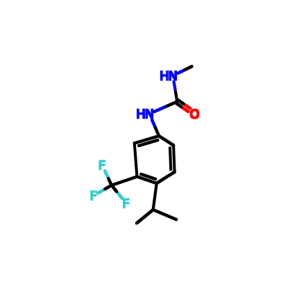 CNC(=O)Nc1ccc(C(C)C)c(C(F)(F)F)c1